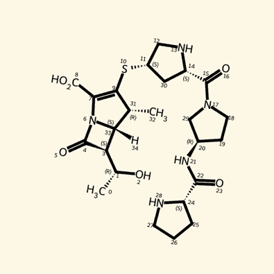 C[C@@H](O)[C@H]1C(=O)N2C(C(=O)O)=C(S[C@@H]3CN[C@H](C(=O)N4CC[C@@H](NC(=O)[C@@H]5CCCN5)C4)C3)[C@H](C)[C@H]12